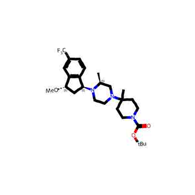 CO[C@H]1C[C@H](N2CCN(C3(C)CCN(C(=O)OC(C)(C)C)CC3)C[C@@H]2C)c2ccc(C(F)(F)F)cc21